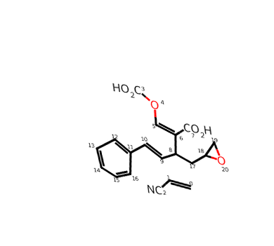 C=CC#N.O=C(O)OC=C(C(=O)O)C(C=Cc1ccccc1)CC1CO1